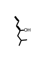 C=CC=C(O)CC(C)C